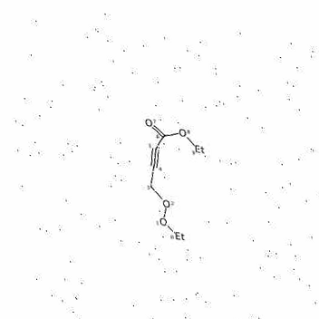 CCOOCC#CC(=O)OCC